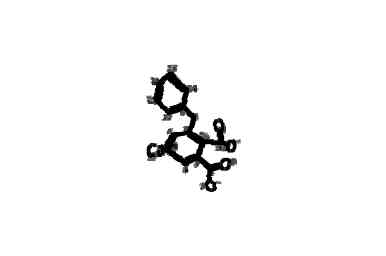 O=C([O-])c1cccc(Cc2ccccc2)c1C(=O)[O-].[Ca+2]